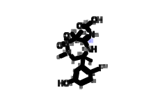 CN1C[C@@](C)(c2cc(O)ccc2F)N/C(=N/C(=O)O)C(C)(C)S1(=O)=O